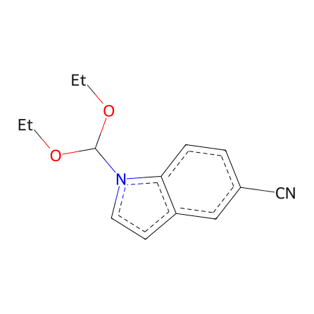 CCOC(OCC)n1ccc2cc(C#N)ccc21